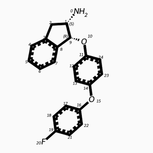 N[C@H]1Cc2ccccc2[C@H]1Oc1ccc(Oc2ccc(F)cc2)cc1